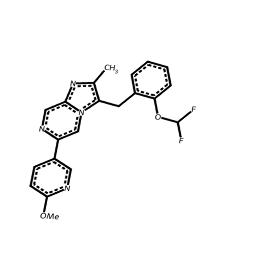 COc1ccc(-c2cn3c(Cc4ccccc4OC(F)F)c(C)nc3cn2)cn1